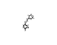 Cc1ncc(OCCN2CCOCC2)cn1